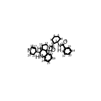 O=C(N[C@@H]1CCCC[C@@H]1C(=O)N1CC[C@@H]2[C@H](C3C=CN=CC3)Nc3ccccc3[C@@H]21)c1ccccc1